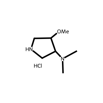 COC1CNCC1N(C)C.Cl